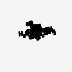 CC(C)(C)c1ccc(Nc2ccccc2-c2cc(C(c3ccccc3)c3ccccc3)c3c4cc5c(cc4n4c3c2Bc2cc3oc6ccccc6c3cc2-4)C(C)(C)CCC5(C)C)cc1